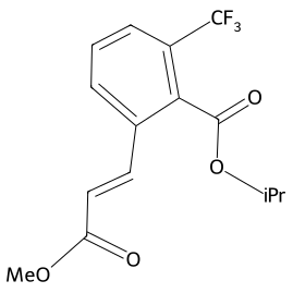 COC(=O)/C=C/c1cccc(C(F)(F)F)c1C(=O)OC(C)C